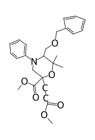 COC(=O)CCC1(C(=O)OC)CN(c2ccccc2)C(COCc2ccccc2)C(C)(C)O1